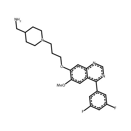 COc1cc2c(-c3cc(F)[c]c(F)c3)ncnc2cc1OCCCN1CCC(CN)CC1